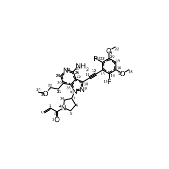 C=CC(=O)N1CCC(n2nc(C#Cc3c(F)c(OC)cc(OC)c3F)c3c(N)ncc(CCOC)c32)C1